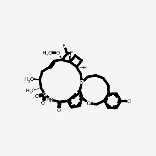 CO[C@@]1(C(F)F)/C=C/C[C@H](C)[C@@H](C)S(=O)(=O)NC(=O)c2ccc3c(c2)N(CCCCc2cc(Cl)ccc2CO3)C[C@@H]2CC[C@H]21